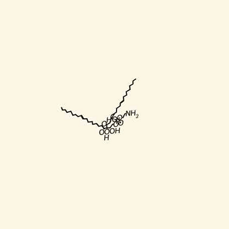 CCCCCCCC/C=C/CCCCCCCC(=O)C(O)(C(=O)CCCCCCC/C=C/CCCCCCCC)[C@@H](O)COP(=O)(O)OCCN